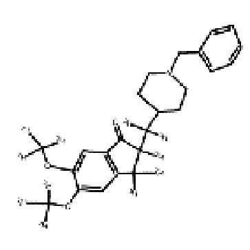 [2H]C([2H])([2H])Oc1cc2c(cc1OC([2H])([2H])[2H])C([2H])([2H])C([2H])(C([2H])([2H])C1CCN(Cc3ccccc3)CC1)C2=O